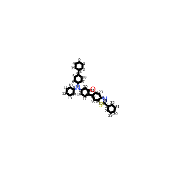 c1ccc(-c2ccc(N(c3ccccc3)c3ccc4c(c3)oc3cc5nc(-c6ccccc6)sc5cc34)cc2)cc1